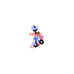 COc1cccc(-c2nnc(NS(=O)(=O)C(C)C(O)c3cnc(C)nc3)n2-c2c(OC)cccc2OC)n1